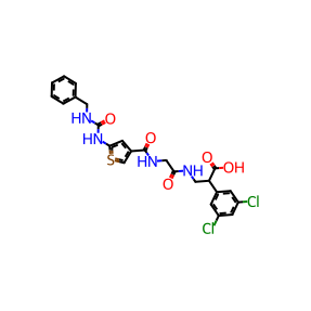 O=C(CNC(=O)c1csc(NC(=O)NCc2ccccc2)c1)NCC(C(=O)O)c1cc(Cl)cc(Cl)c1